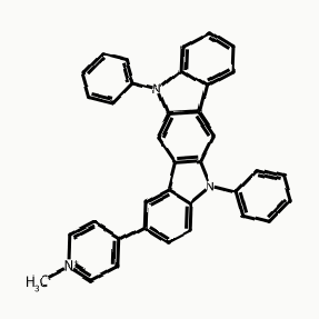 C[n+]1ccc(-c2ccc3c(c2)c2cc4c(cc2n3-c2ccccc2)c2ccccc2n4-c2ccccc2)cc1